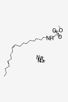 CCCCCCCC/C=C\CCCCCCCCNCCS(=O)(=O)OC.[Na].[Na]